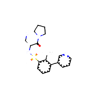 COc1c(-c2cccnc2)cccc1S(=O)(=O)N[C@@H](CN)C(=O)N1CC[C@H](F)C1